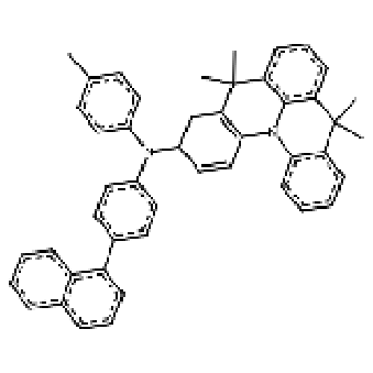 Cc1ccc(N(c2ccc(-c3cccc4ccccc34)cc2)C2C=CC3=C(C2)C(C)(C)c2cccc4c2N3c2ccccc2C4(C)C)cc1